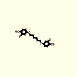 Oc1ccc(OCCCCCCOc2ccc(O)c(F)c2)cc1F